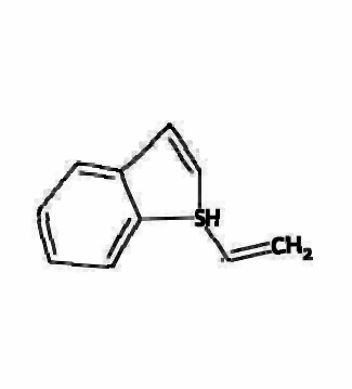 C=[C][SH]1C=Cc2ccccc21